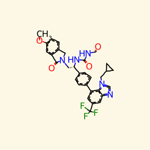 COc1ccc2c(c1)C(=O)N(C[C@H](NC(=O)NC=O)c1ccc(-c3cc(C(F)(F)F)cc4ncn(CC5CC5)c34)cc1)C2